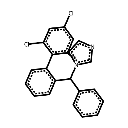 Clc1cc(Cl)c(-c2ccccc2C(c2ccccc2)n2ccnc2)c(Cl)c1